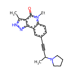 CCn1c(=O)c2c(C)[nH]nc2c2cc(C#CC(C)N3CCCC3)ccc21